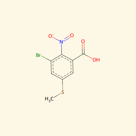 CSc1cc(Br)c([N+](=O)[O-])c(C(=O)O)c1